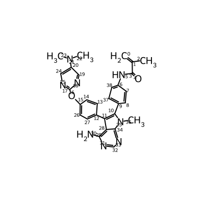 C=C(C)C(=O)Nc1ccc(-c2c(-c3ccc(Oc4ncc(N(C)C)cn4)cc3)c3c(N)ncnc3n2C)cc1